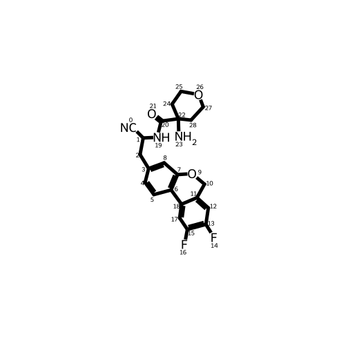 N#CC(Cc1ccc2c(c1)OCc1cc(F)c(F)cc1-2)NC(=O)C1(N)CCOCC1